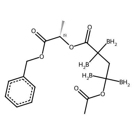 BC(B)(CC(B)(B)C(=O)O[C@@H](C)C(=O)OCc1ccccc1)OC(C)=O